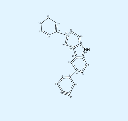 c1ccc(-c2ccc3[nH]c4ccc(C5=CCCC=C5)cc4c3c2)cc#1